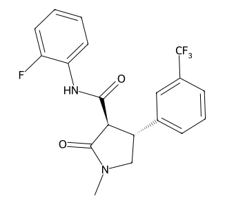 CN1C[C@@H](c2cccc(C(F)(F)F)c2)[C@H](C(=O)Nc2ccccc2F)C1=O